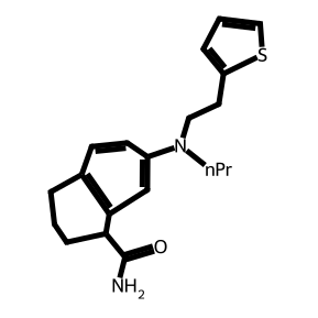 CCCN(CCc1cccs1)c1ccc2c(c1)C(C(N)=O)CCC2